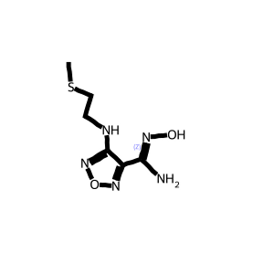 CSCCNc1nonc1/C(N)=N/O